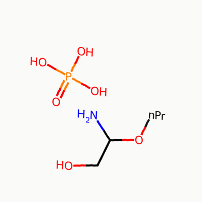 CCCOC(N)CO.O=P(O)(O)O